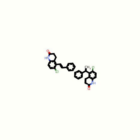 CC(c1ccccc1)c1c(Cl)ccc2c1CCC(=O)N2.O=C1CCc2c(ccc(Cl)c2C=Cc2ccccc2)N1